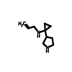 C=CCNC1(C2CCNC2)CC1